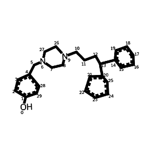 Oc1ccc(CN2CCN(CCCC(c3ccccc3)c3ccccc3)CC2)cc1